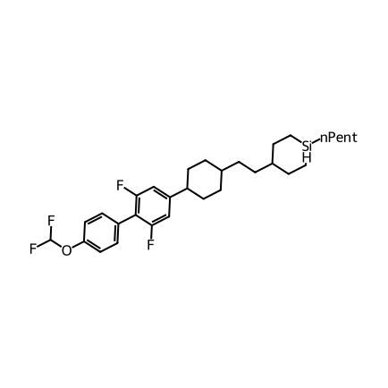 CCCCC[SiH]1CCC(CCC2CCC(c3cc(F)c(-c4ccc(OC(F)F)cc4)c(F)c3)CC2)CC1